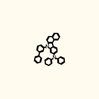 C1=CC(N(c2ccccc2)c2ccc3c4c5ccccc5ccc4n(-c4cccc(-c5ccccc5)c4)c3c2)=CCC1